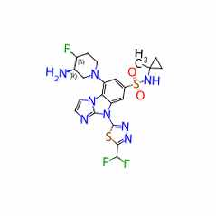 CC1(NS(=O)(=O)c2cc(N3CC[C@H](F)[C@H](N)C3)c3c(c2)n(-c2nnc(C(F)F)s2)c2nccn32)CC1